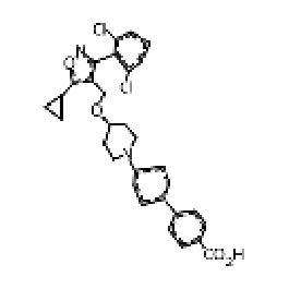 O=C(O)c1ccc(-c2ccc(N3CCC(OCc4c(-c5c(Cl)cccc5Cl)noc4C4CC4)CC3)cc2)cc1